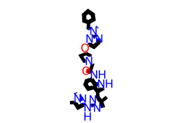 Cc1cnc(Nc2cc(C)n(C)n2)nc1-c1c[nH]c2c(NC(=O)CN3CCC(Oc4ccnc(N(C)Cc5ccccc5)n4)C3)cccc12